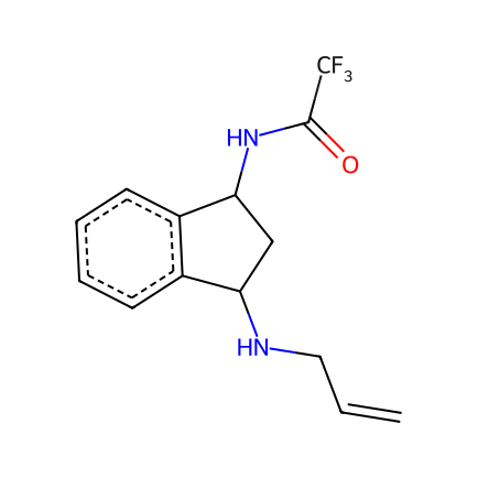 C=CCNC1CC(NC(=O)C(F)(F)F)c2ccccc21